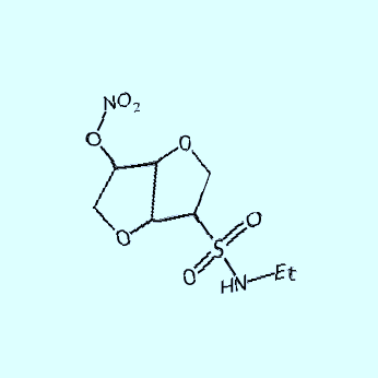 CCNS(=O)(=O)C1COC2C(O[N+](=O)[O-])COC21